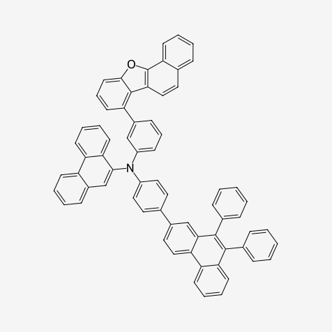 c1ccc(-c2c(-c3ccccc3)c3cc(-c4ccc(N(c5cccc(-c6cccc7oc8c9ccccc9ccc8c67)c5)c5cc6ccccc6c6ccccc56)cc4)ccc3c3ccccc23)cc1